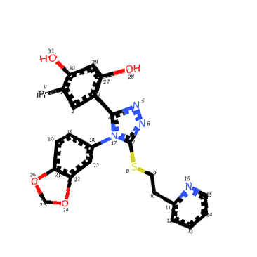 CC(C)c1cc(-c2nnc(SCCc3ccccn3)n2-c2ccc3c(c2)OCO3)c(O)cc1O